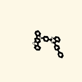 C1=CCCC(C2=CC=C(c3nc(C4C=CC(n5c6ccccc6c6cc7oc8ccccc8c7cc65)=CC4)nc4ccccc34)CC2)=C1